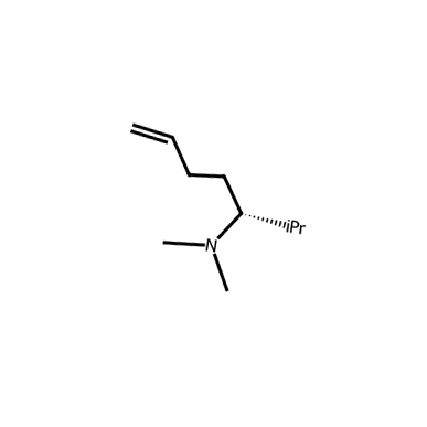 C=CCC[C@H](C(C)C)N(C)C